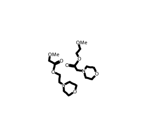 COCC(=O)OCCN1CCOCC1.COCCOC(=O)CN1CCOCC1